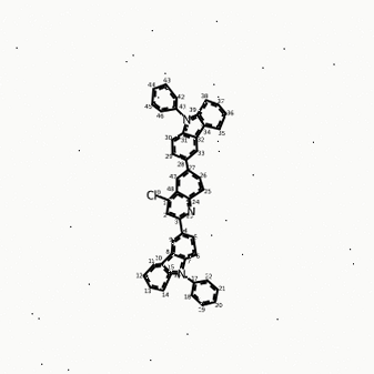 Clc1cc(-c2ccc3c(c2)c2ccccc2n3-c2ccccc2)nc2ccc(-c3ccc4c(c3)c3ccccc3n4-c3ccccc3)cc12